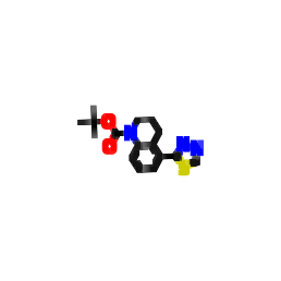 CC(C)(C)OC(=O)N1CCCc2c(-c3nncs3)cccc21